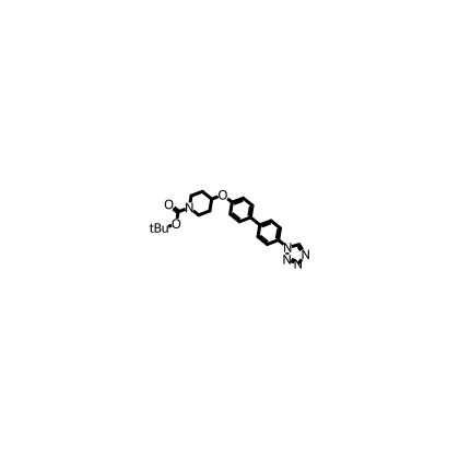 CC(C)(C)OC(=O)N1CCC(Oc2ccc(-c3ccc(-n4cnnn4)cc3)cc2)CC1